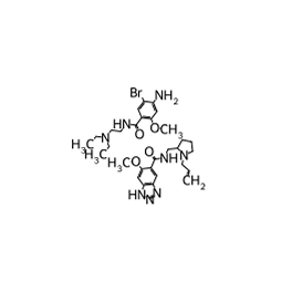 C=CCN1CCCC1CNC(=O)c1cc2nn[nH]c2cc1OC.CCN(CC)CCNC(=O)c1cc(Br)c(N)cc1OC